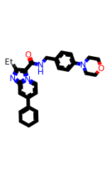 CCc1nc2cc(C3=CCCC=C3)ccn2c1C(=O)NCc1ccc(N2CCOCC2)cc1